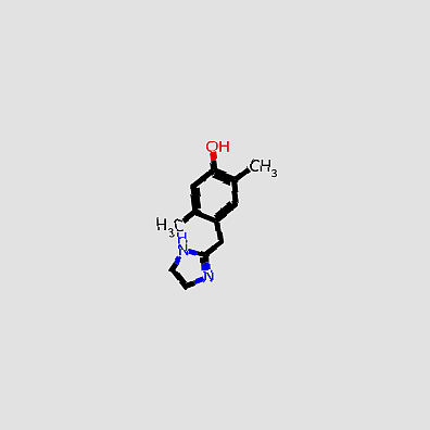 Cc1cc(CC2=NCCN2)c(C)cc1O